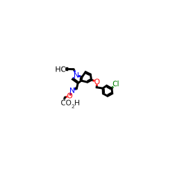 C#CCn1cc(C=NOCC(=O)O)c2cc(OCc3cccc(Cl)c3)ccc21